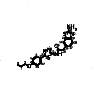 CCCOc1ccc(-c2nnc(NC(=O)Cc3ccc4nc(N)sc4c3)s2)cc1